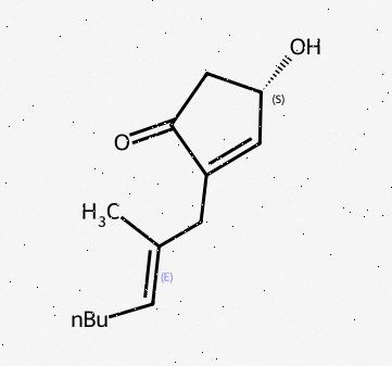 CCCC/C=C(\C)CC1=C[C@@H](O)CC1=O